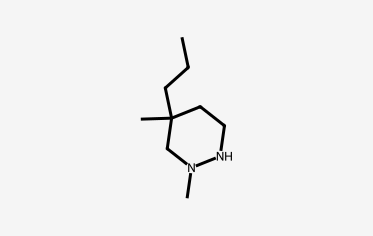 CCCC1(C)CCNN(C)C1